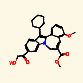 COC(=O)C1=Cc2c(OC)cccc2-c2c(C3CCCCC3)c3ccc(C(=O)CO)cc3n2C1